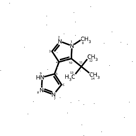 Cn1ncc(-c2cnn[nH]2)c1C(C)(C)C